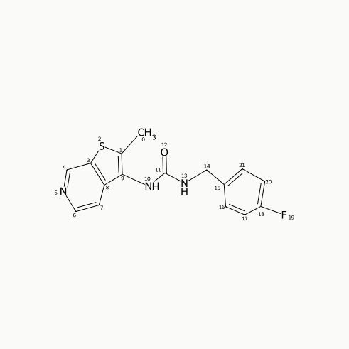 Cc1sc2cnccc2c1NC(=O)NCc1ccc(F)cc1